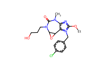 CCOc1nc2c(n1Cc1ccc(Cl)cc1)C1OC1N(CCCO)C(=O)N2C